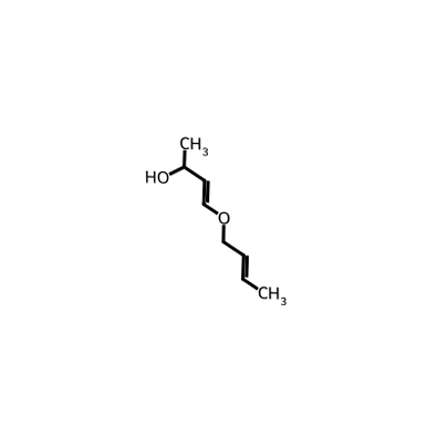 CC=CCOC=CC(C)O